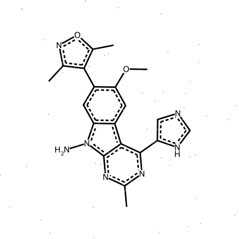 COc1cc2c3c(-c4cnc[nH]4)nc(C)nc3n(N)c2cc1-c1c(C)noc1C